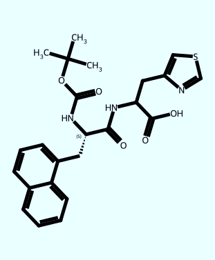 CC(C)(C)OC(=O)N[C@@H](Cc1cccc2ccccc12)C(=O)NC(Cc1cscn1)C(=O)O